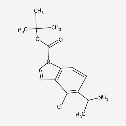 CC(N)c1ccc2c(ccn2C(=O)OC(C)(C)C)c1Cl